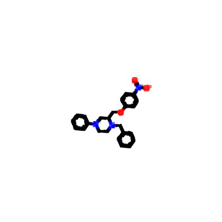 O=[N+]([O-])c1ccc(OCC2CN(c3ccccc3)CCN2Cc2ccccc2)cc1